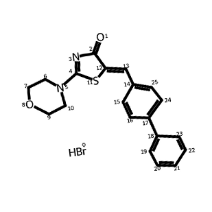 Br.O=C1N=C(N2CCOCC2)SC1=Cc1ccc(-c2ccccc2)cc1